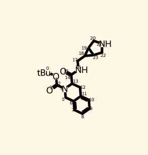 CC(C)(C)OC(=O)N1Cc2ccccc2CC1C(=O)NCC1C2CNCC21